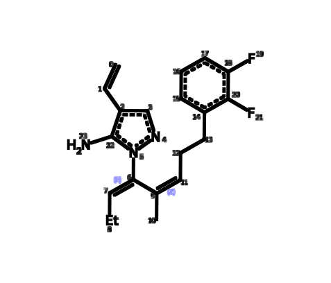 C=Cc1cnn(C(=C/CC)/C(C)=C\CCc2cccc(F)c2F)c1N